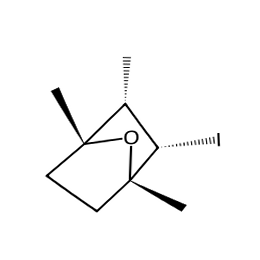 C[C@@H]1[C@H](I)[C@]2(C)CC[C@@]1(C)O2